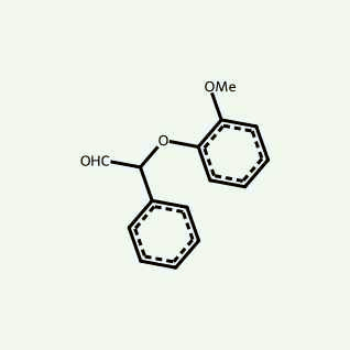 COc1ccccc1OC(C=O)c1ccccc1